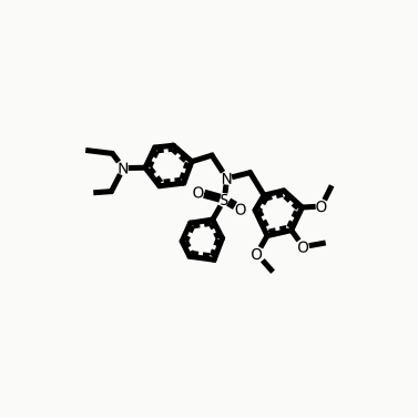 CCN(CC)c1ccc(CN(Cc2cc(OC)c(OC)c(OC)c2)S(=O)(=O)c2ccccc2)cc1